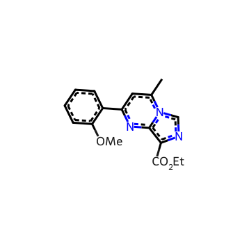 CCOC(=O)c1ncn2c(C)cc(-c3ccccc3OC)nc12